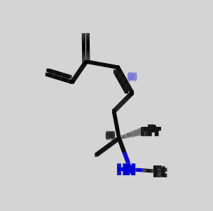 C=CC(=C)/C=C\C[C@@](C)(CCC)NCC